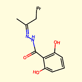 CC(CC(C)C)=NNC(=O)c1c(O)cccc1O